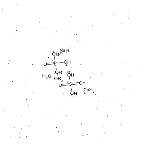 O.O.O=P(O)(O)O.O=S(=O)(O)O.[CaH2].[NaH]